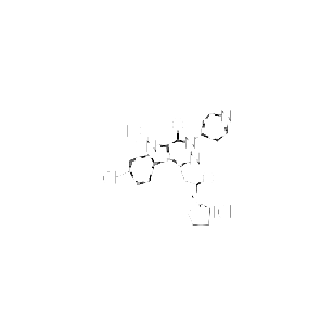 Cl.Cn1c2cc(Cl)ccc2c2c(CC(=O)N3CCCC3)nn(-c3ccncc3)c(=O)c21